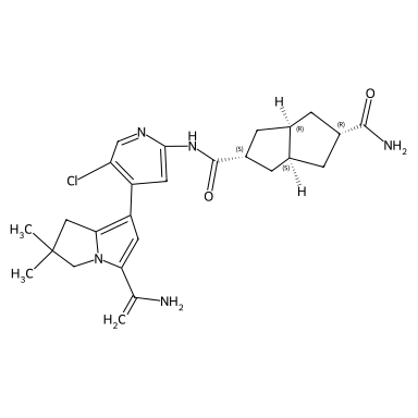 C=C(N)c1cc(-c2cc(NC(=O)[C@@H]3C[C@H]4C[C@H](C(N)=O)C[C@H]4C3)ncc2Cl)c2n1CC(C)(C)C2